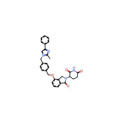 Cc1nc(-c2ccccc2)cn1Cc1ccc(COc2cccc3c2CN(C2CCC(=O)NC2=O)C3=O)cc1